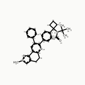 Cn1cc2c(n1)-c1cc(-c3ccccc3)c(-c3ccc(C4(N(C(=O)O)C(C)(C)C)CCC4)cc3)nc1CC2